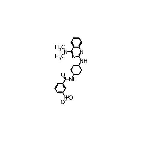 CN(C)c1nc(NC2CCC(NC(=O)c3cccc([N+](=O)[O-])c3)CC2)nc2ccccc12